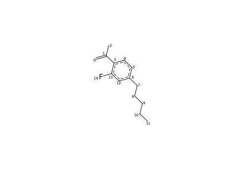 C=C(C)c1ccc(CCCCC)cc1F